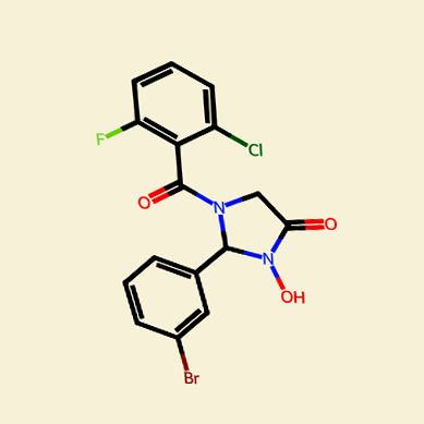 O=C1CN(C(=O)c2c(F)cccc2Cl)C(c2cccc(Br)c2)N1O